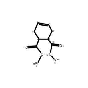 CCCOC(=O)C1CC=CCC1C(=O)OCCC